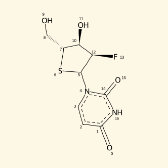 O=c1ccn(C2S[C@H](CO)[C@@H](O)[C@H]2F)c(=O)[nH]1